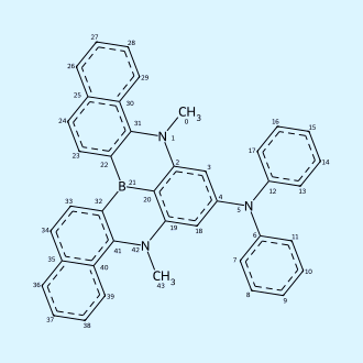 CN1c2cc(N(c3ccccc3)c3ccccc3)cc3c2B(c2ccc4ccccc4c21)c1ccc2ccccc2c1N3C